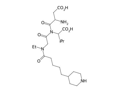 CCN(CC(=O)N(C(=O)C(N)CC(=O)O)C(C(=O)O)C(C)C)C(=O)CCCCC1CCNCC1